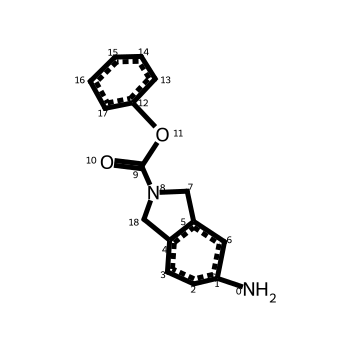 Nc1ccc2c(c1)CN(C(=O)Oc1ccccc1)C2